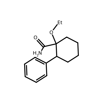 CCOC1(C(N)=O)CCCCC1c1ccccc1